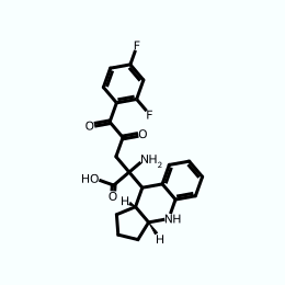 NC(CC(=O)C(=O)c1ccc(F)cc1F)(C(=O)O)C1c2ccccc2N[C@@H]2CCC[C@H]12